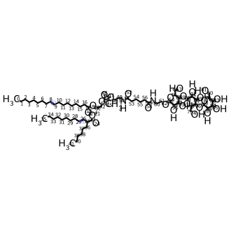 CCCCCCCC/C=C/CCCCCCCC(=O)O[C@@H](COC(=O)C(/C=C/CCCCCCCC)CCCCCC)COP(C)(=O)OCCNC(=O)CCCCC(=O)NCCO[C@@H]1OC(CO)[C@@H](O[C@@H]2OC(CO)[C@H](O[C@H]3OC(CO)[C@H](O)[C@H](O)C3O)[C@H](O)C2O)[C@H](O)C1O